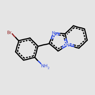 Nc1ccc(Br)cc1-c1cn2ccccc2n1